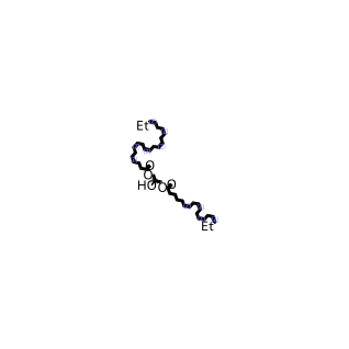 CC/C=C\C/C=C\C/C=C\C/C=C\C/C=C\C/C=C\CCC(=O)OC[C@H](O)COC(=O)CCCC/C=C\C/C=C\C/C=C\C/C=C\CC